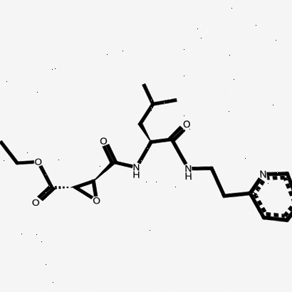 CCOC(=O)[C@H]1O[C@@H]1C(=O)N[C@@H](CC(C)C)C(=O)NCCc1ccccn1